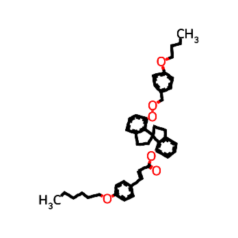 CCCCCCOc1ccc(/C=C/C(=O)Oc2cccc3c2C2(CCc4cccc(OOCc5ccc(OCCCC)cc5)c42)CC3)cc1